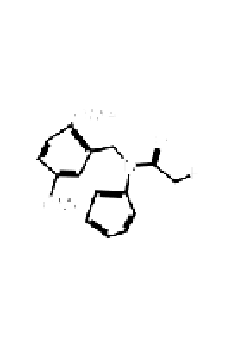 COc1ccc(OC)c(CN(C(=O)CF)c2ccccc2)c1